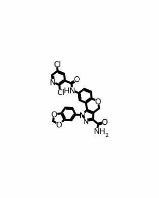 NC(=O)c1nn(-c2ccc3c(c2)OCO3)c2c1COc1ccc(NC(=O)c3cc(Cl)cnc3Cl)cc1-2